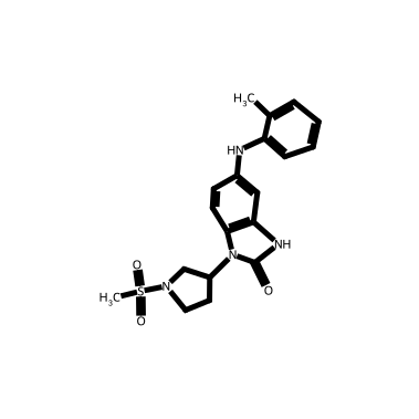 Cc1ccccc1Nc1ccc2c(c1)[nH]c(=O)n2C1CCN(S(C)(=O)=O)C1